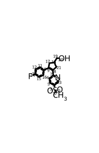 CS(=O)(=O)c1ccc(C2=C(c3ccc(F)cc3)CC(CO)C2)nc1